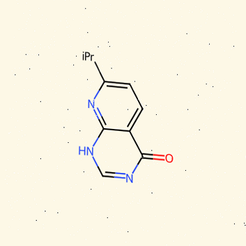 CC(C)c1ccc2c(=O)nc[nH]c2n1